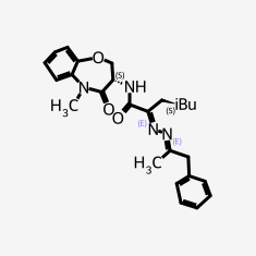 CC[C@H](C)C/C(=N\N=C(/C)Cc1ccccc1)C(=O)N[C@H]1COc2ccccc2N(C)C1=O